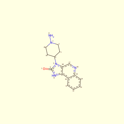 NN1CCC(n2c(=O)[nH]c3c4ccccc4ncc32)CC1